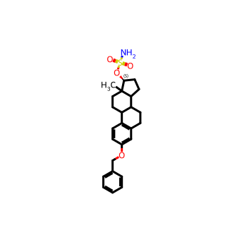 CC12CCC3c4ccc(OCc5ccccc5)cc4CCC3C1CC[C@@H]2OS(N)(=O)=O